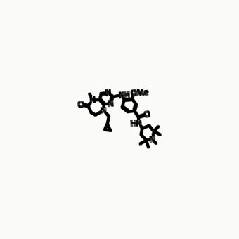 COc1cc(C(=O)NC2CC(C)(C)N(C)C(C)(C)C2)ccc1Nc1ncc2c(n1)N(CC1CC1)CCC(=O)N2C